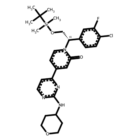 CC(C)(C)[Si](C)(C)OC[C@H](c1ccc(Cl)c(F)c1)n1ccc(-c2ccnc(NC3CCOCC3)n2)cc1=O